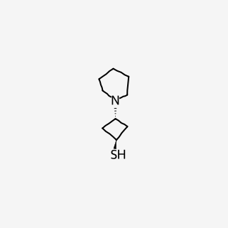 S[C@H]1C[C@H](N2CCCCC2)C1